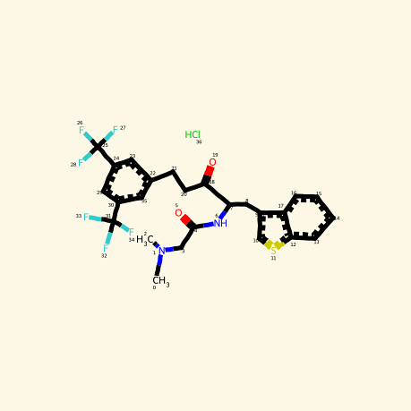 CN(C)CC(=O)NC(Cc1csc2ccccc12)C(=O)CCc1cc(C(F)(F)F)cc(C(F)(F)F)c1.Cl